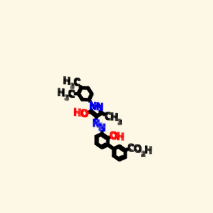 Cc1nn(C2CCC(C)C(C)C2)c(O)c1/N=N/c1cccc(-c2cccc(C(=O)O)c2)c1O